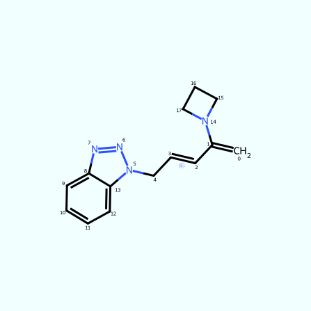 C=C(/C=C/Cn1nnc2ccccc21)N1CCC1